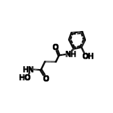 O=C(CCC(=O)Nc1ccccc1O)NO